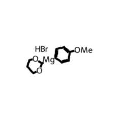 Br.COc1cc[c]([Mg][CH]2OCCCO2)cc1